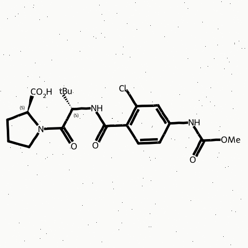 COC(=O)Nc1ccc(C(=O)N[C@H](C(=O)N2CCC[C@H]2C(=O)O)C(C)(C)C)c(Cl)c1